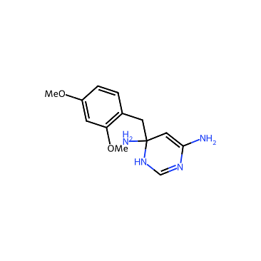 COc1ccc(CC2(N)C=C(N)N=CN2)c(OC)c1